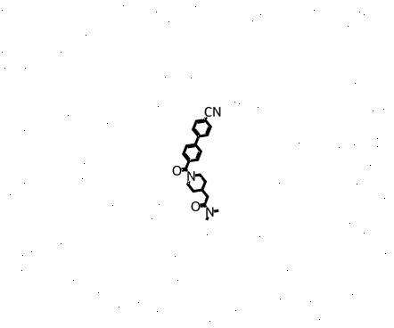 CN(C)C(=O)CC1CCN(C(=O)c2ccc(-c3ccc(C#N)cc3)cc2)CC1